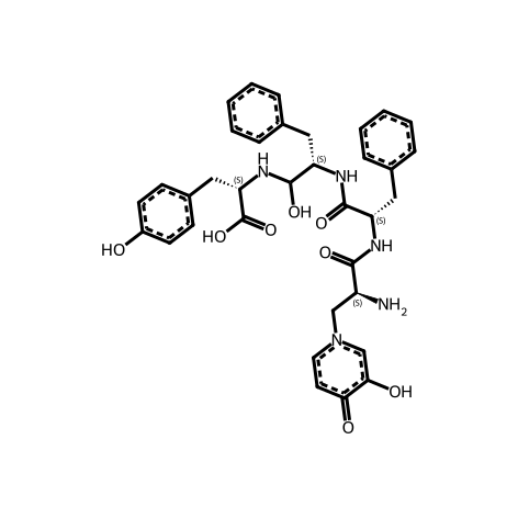 N[C@@H](Cn1ccc(=O)c(O)c1)C(=O)N[C@@H](Cc1ccccc1)C(=O)N[C@@H](Cc1ccccc1)C(O)N[C@@H](Cc1ccc(O)cc1)C(=O)O